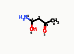 CC(=O)CC(N)O